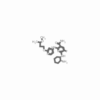 COC(C)CCOc1cc(Nc2nc(N[C@@H]3CCCC[C@@H]3N)c(F)cc2C(N)=O)ccn1